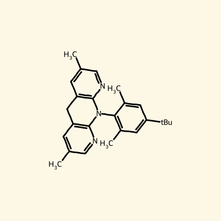 Cc1cnc2c(c1)Cc1cc(C)cnc1N2c1c(C)cc(C(C)(C)C)cc1C